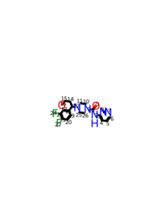 O=C(Nc1cccnn1)N1CCN(C2CCOc3c2ccc(F)c3F)CC1